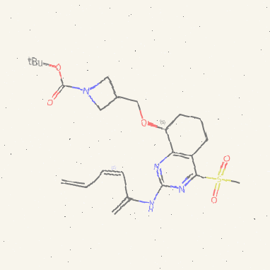 C=C/C=C\C(=C)Nc1nc2c(c(S(C)(=O)=O)n1)CCC[C@@H]2OCC1CN(C(=O)OC(C)(C)C)C1